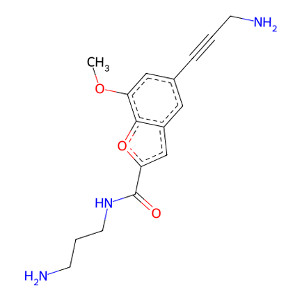 COc1cc(C#CCN)cc2cc(C(=O)NCCCN)oc12